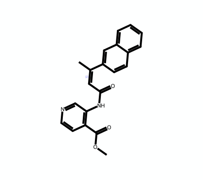 COC(=O)c1ccncc1NC(=O)/C=C(/C)c1ccc2ccccc2c1